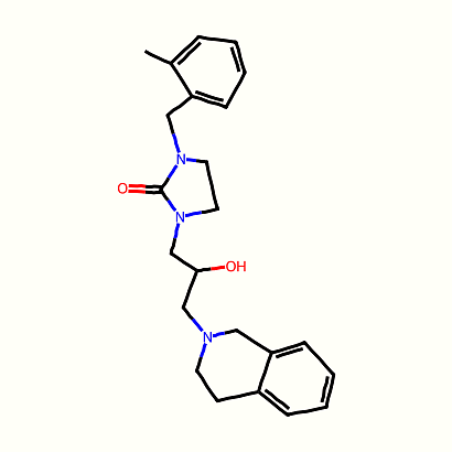 Cc1ccccc1CN1CCN(CC(O)CN2CCc3ccccc3C2)C1=O